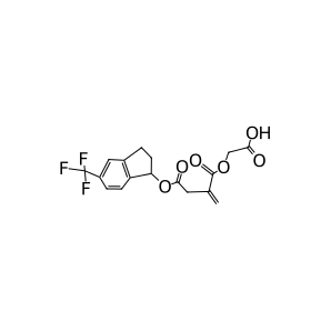 C=C(CC(=O)OC1CCc2cc(C(F)(F)F)ccc21)C(=O)OCC(=O)O